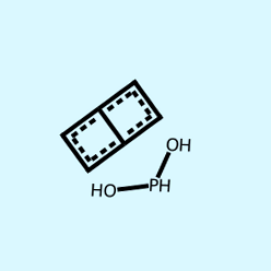 OPO.c1cc2ccc1-2